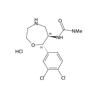 CNC(=O)N[C@@H]1CNCCO[C@H]1c1ccc(Cl)c(Cl)c1.Cl